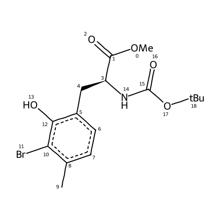 COC(=O)[C@H](Cc1ccc(C)c(Br)c1O)NC(=O)OC(C)(C)C